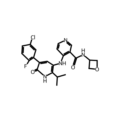 CC(C)c1[nH]c(=O)c(-c2cc(Cl)ccc2F)cc1Nc1ccncc1C(=O)NC1COC1